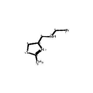 CC1=NC(CNCC(C)C)CS1